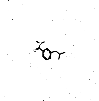 CC(C)Cc1cccc(C(=O)N(C)C)c1